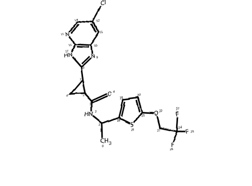 CC(NC(=O)C1CC1c1nc2cc(Cl)cnc2[nH]1)c1ccc(OCC(F)(F)F)s1